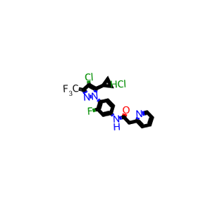 Cl.O=C(Cc1ccccn1)Nc1ccc(-n2nc(C(F)(F)F)c(Cl)c2C2CC2)c(F)c1